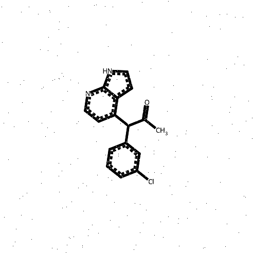 CC(=O)C(c1cccc(Cl)c1)c1ccnc2[nH]ccc12